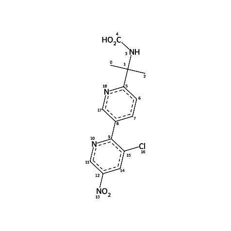 CC(C)(NC(=O)O)c1ccc(-c2ncc([N+](=O)[O-])cc2Cl)cn1